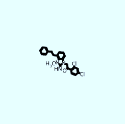 Cn1c(=N)n(CC(=O)c2ccc(Cl)cc2Cl)c2cccc(CCc3ccccc3)c21